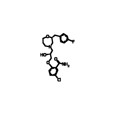 NC(=O)c1cc(Cl)ccc1OC[C@@H](O)CN1CCCO[C@@H](Cc2ccc(F)cc2)C1